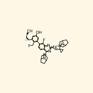 C#C/C=C\c1cc(O)cc(-c2ccc3c(N4CC5CCC(C4)N5)nc(OCC4(CN5C6CCC5CN(C)C6)CC4)nc3c2F)c1CF